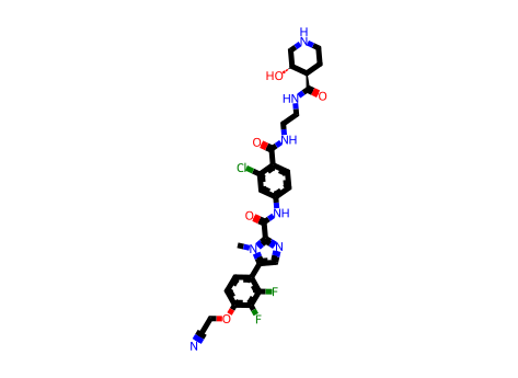 Cn1c(-c2ccc(OCC#N)c(F)c2F)cnc1C(=O)Nc1ccc(C(=O)NCCNC(=O)[C@@H]2CCNC[C@H]2O)c(Cl)c1